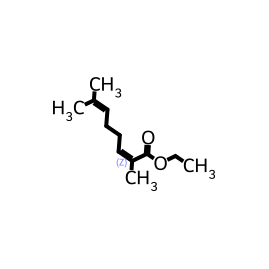 CCOC(=O)/C(C)=C\CCC=C(C)C